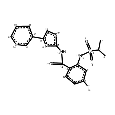 CC(C)S(=O)(=O)Nc1cc(F)ccc1C(=O)Nc1nc(-c2cccnc2)cs1